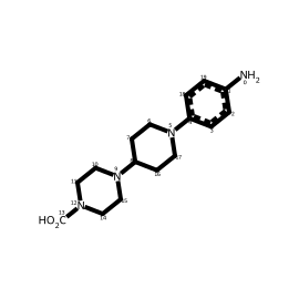 Nc1ccc(N2CCC(N3CCN(C(=O)O)CC3)CC2)cc1